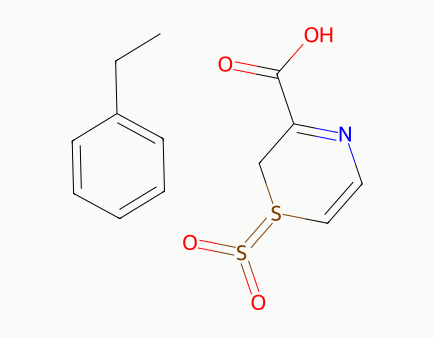 CCc1ccccc1.O=C(O)C1=NC=CS(=S(=O)=O)C1